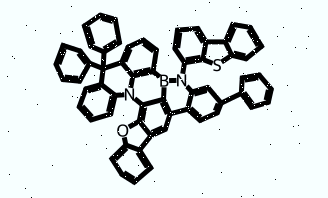 c1ccc(-c2ccc3c(c2)N(c2cccc4c2sc2ccccc24)B2c4cccc5c4N(c4ccccc4C5(c4ccccc4)c4ccccc4)c4c2c-3cc2c4oc3ccccc32)cc1